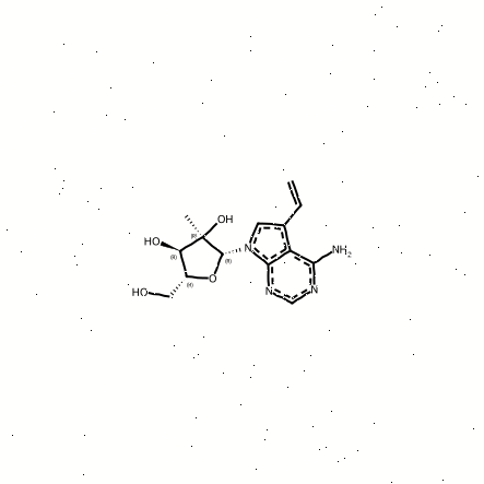 C=Cc1cn([C@@H]2O[C@H](CO)[C@@H](O)[C@@]2(C)O)c2ncnc(N)c12